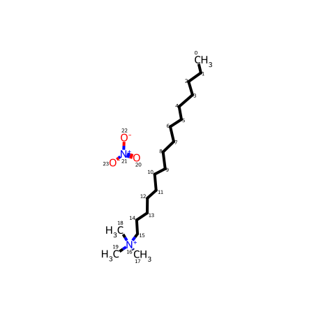 CCCCCCCCCCCCCCCC[N+](C)(C)C.O=[N+]([O-])[O-]